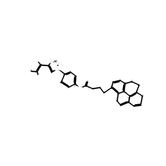 CCC(C1=CN(c2ccc(NC(=O)CCCc3ccc4c5c3CC=C3C=CCC(=C35)CC4)cc2)NN1)=C(C)C